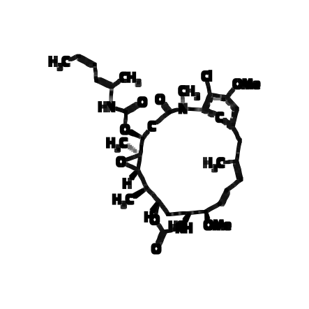 C/C=C\C=C(/C)NC(=O)O[C@H]1CC(=O)N(C)c2cc(cc(OC)c2Cl)C/C(C)=C/C=C/[C@@H](OC)[C@@]2(O)C[C@H](OC(=O)N2)[C@@H](C)[C@@H]2O[C@@]12C